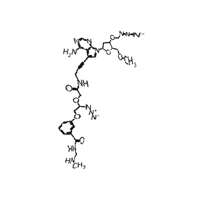 CNCNC(=O)c1cccc(OCC(N=[N+]=[N-])OCC(=O)NCC#Cc2cn(C3CC(OCN=[N+]=[N-])C(COC)O3)c3ncnc(N)c23)c1